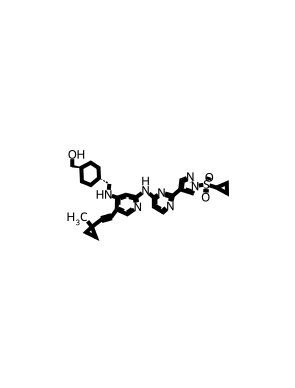 CC1(C#Cc2cnc(Nc3ccnc(-c4cnn(S(=O)(=O)C5CC5)c4)n3)cc2NC[C@H]2CC[C@H](CO)CC2)CC1